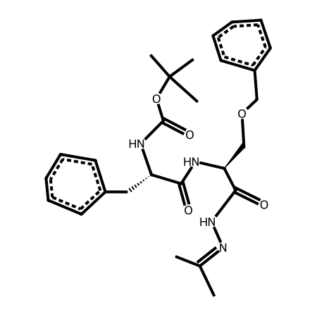 CC(C)=NNC(=O)[C@H](COCc1ccccc1)NC(=O)[C@H](Cc1ccccc1)NC(=O)OC(C)(C)C